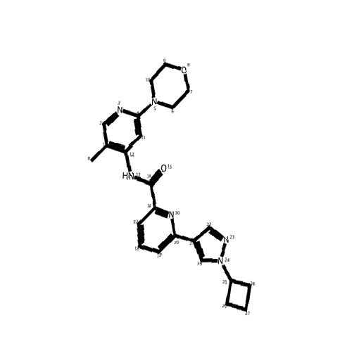 Cc1cnc(N2CCOCC2)cc1NC(=O)c1cccc(-c2cnn(C3CCC3)c2)n1